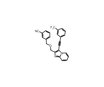 N#Cc1cccc(COCc2nc3ccccn3c2C#Cc2cccc(C(F)(F)F)c2)c1